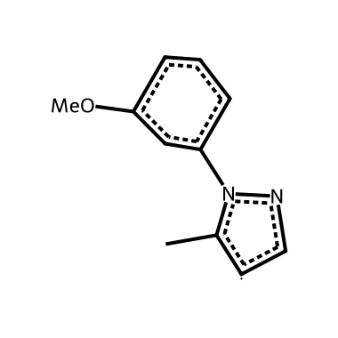 COc1cccc(-n2nc[c]c2C)c1